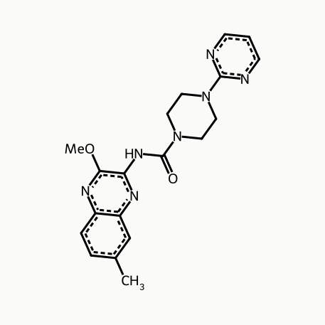 COc1nc2ccc(C)cc2nc1NC(=O)N1CCN(c2ncccn2)CC1